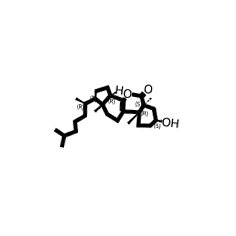 CC(C)CCC[C@@H](C)[C@H]1CC[C@H]2C3=C(CC[C@]12C)[C@@]1(C)CC[C@H](O)C[C@]1(C)C(=O)O3